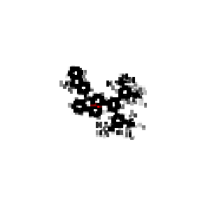 CC(C)(C)c1cc(-c2cc(-c3ccc(N(c4ccc5c(c4)C(C)(C)c4ccccc4-5)c4ccccc4-c4ccccc4)cc3)cc(-c3cc(C(C)(C)C)cc(C(C)(C)C)c3)c2)cc(C(C)(C)C)c1